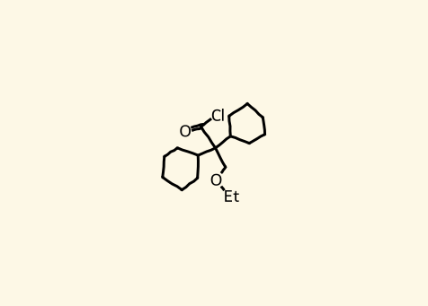 CCOCC(C(=O)Cl)(C1CCCCC1)C1CCCCC1